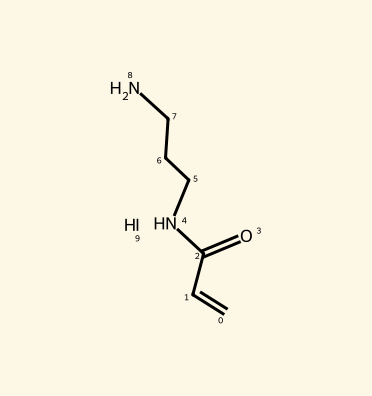 C=CC(=O)NCCCN.I